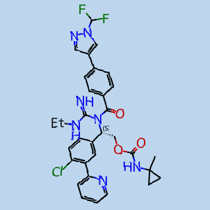 CCNC(=N)N(C(=O)c1ccc(-c2cnn(C(F)F)c2)cc1)[C@H](COC(=O)NC1(C)CC1)c1ccc(Cl)c(-c2ccccn2)c1